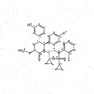 O=C(O)C[C@H]1O[C@H](c2cccc(Cl)c2)[C@@H](c2ccc(Cl)cc2)N([C@H](CN(c2ncccc2F)S(=O)(=O)C2CC2)C2CC2)C1=O